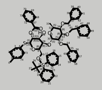 Cc1ccc(S[C@@H]2O[C@H](CO[Si](c3ccccc3)(c3ccccc3)C(C)(C)C)[C@H](O[C@@H]3O[C@@H](C)[C@@H](OCc4ccccc4)[C@@H](OCc4ccccc4)[C@@H]3OCc3ccccc3)[C@H](O)[C@H]2OC(=O)c2ccccc2)cc1